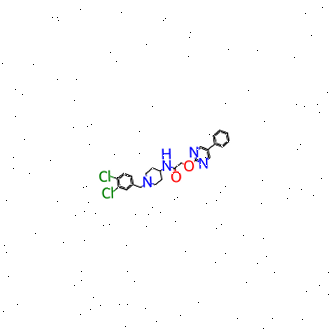 O=C(COc1ncc(-c2ccccc2)cn1)NC1CCN(Cc2ccc(Cl)c(Cl)c2)CC1